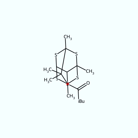 CCC(C)C(=O)SC1C2SC3(C)SC1(C)SC(C)(S2)C3(C)C